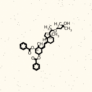 C=C1C(=CC=C2CCC[C@]3(C)[C@@H]([C@H](C)OCCC(C)(C)O)CC[C@@H]23)C[C@@H](OC(=O)c2ccccc2)C[C@@H]1OC(=O)c1ccccc1